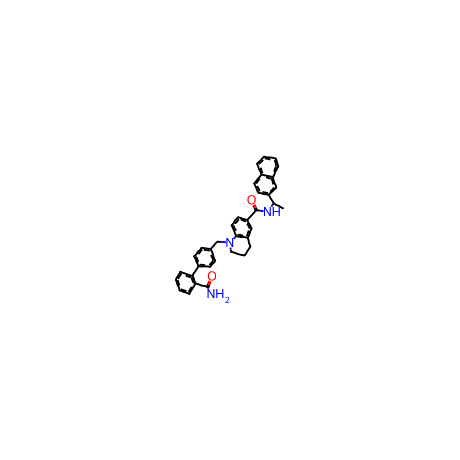 CC(NC(=O)c1ccc2c(c1)CCCN2Cc1ccc(-c2ccccc2C(N)=O)cc1)c1ccc2ccccc2c1